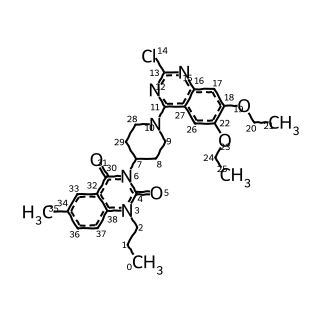 CCCn1c(=O)n(C2CCN(c3nc(Cl)nc4cc(OCC)c(OCC)cc34)CC2)c(=O)c2cc(C)ccc21